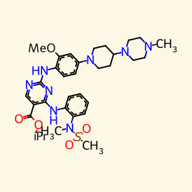 COc1cc(N2CCC(N3CCN(C)CC3)CC2)ccc1Nc1ncc(C(=O)OC(C)C)c(Nc2ccccc2N(C)S(C)(=O)=O)n1